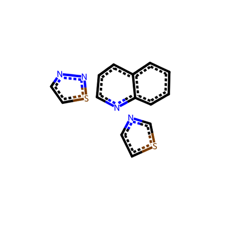 c1ccc2ncccc2c1.c1cscn1.c1csnn1